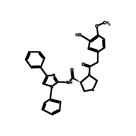 COc1ccc(CC(=O)N2CSC[C@@H]2C(=O)Nc2nc(-c3ccccc3)cn2-c2ccccc2)cc1O